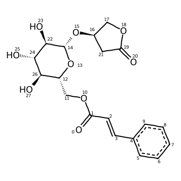 O=C(C=Cc1ccccc1)OC[C@H]1O[C@@H](O[C@H]2COC(=O)C2)[C@H](O)[C@@H](O)[C@@H]1O